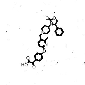 Cc1nc(Oc2ccc(C(=O)C(=O)O)cc2)ccc1CN1CCC(N2C(=O)OCC2c2ccccc2)CC1